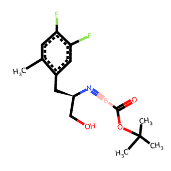 Cc1cc(F)c(F)cc1C[C@H](CO)N=BC(=O)OC(C)(C)C